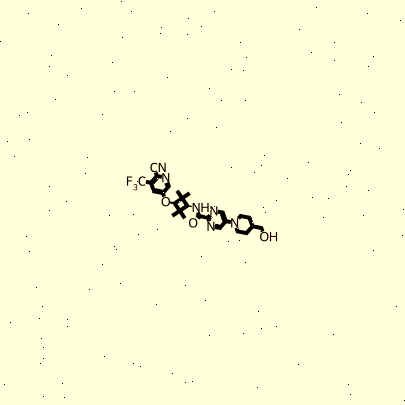 CC1(C)[C@H](NC(=O)c2ncc(N3CCC(CO)CC3)cn2)C(C)(C)[C@H]1Oc1cnc(C#N)c(C(F)(F)F)c1